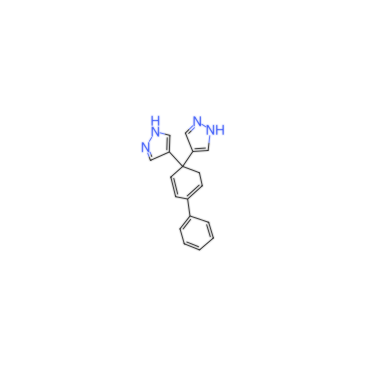 C1=CC(c2cn[nH]c2)(c2cn[nH]c2)CC=C1c1ccccc1